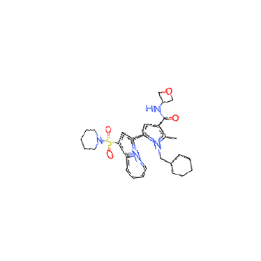 Cc1c(C(=O)NC2COC2)cc(-c2cc(S(=O)(=O)N3CCCCC3)c3ccccn23)n1CC1CCCCC1